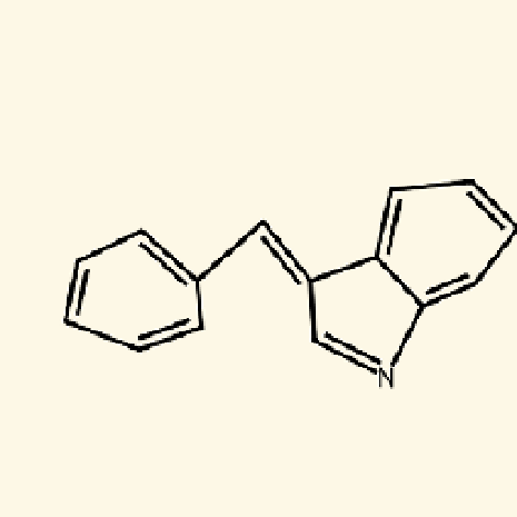 C1=Nc2ccccc2C1=Cc1ccccc1